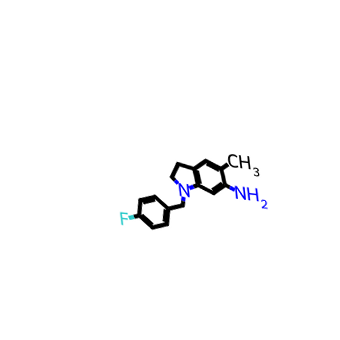 Cc1cc2c(cc1N)N(Cc1ccc(F)cc1)CC2